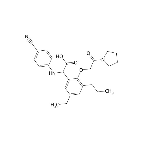 CCCc1cc(CC)cc(C(Nc2ccc(C#N)cc2)C(=O)O)c1OCC(=O)N1CCCC1